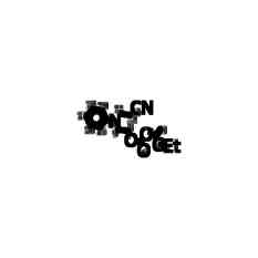 CCOC(C)OC(=O)OCCN(CCC#N)c1ccccc1